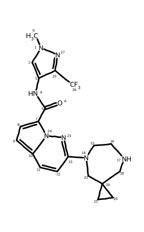 Cn1cc(NC(=O)c2ccc3ccc(N4CCNCC5(CC5)C4)nn23)c(C(F)(F)F)n1